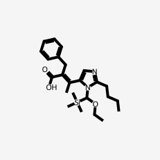 CCCCc1ncc(/C(C)=C(\Cc2ccccc2)C(=O)O)n1C(OCC)[Si](C)(C)C